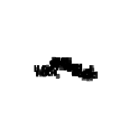 CC(C)(O)CCc1ccnc(C(O)NC23CC(NC(=O)COc4ccc(Cl)c(F)c4)(C2)C3)c1